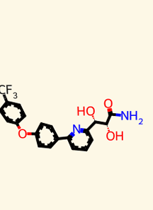 NC(=O)[C@H](O)[C@@H](O)c1cccc(-c2ccc(Oc3ccc(C(F)(F)F)cc3)cc2)n1